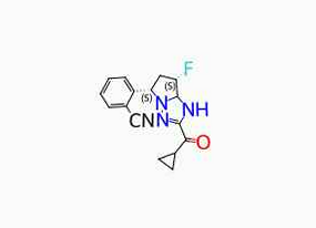 N#Cc1ccccc1[C@@H]1C[C@H](F)C2NC(C(=O)C3CC3)=NN21